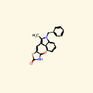 Cc1c(/C=C2/SC(=O)NC2=O)c2ccccc2n1Cc1ccccc1